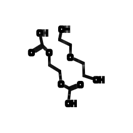 O=C(O)OCCOC(=O)O.OCCOCCO